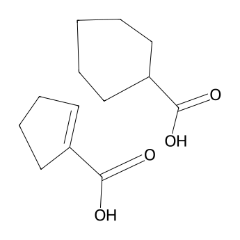 O=C(O)C1=CCCC1.O=C(O)C1CCCCC1